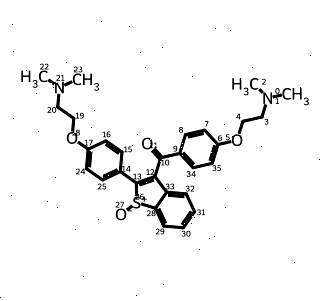 CN(C)CCOc1ccc(C(=O)c2c(-c3ccc(OCCN(C)C)cc3)[s+]([O-])c3ccccc23)cc1